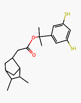 CC1C2CC(CC(=O)OC(C)(C)c3cc(S)cc(S)c3)C(C2)C1C